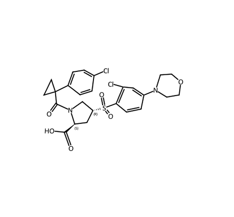 O=C(O)[C@@H]1C[C@@H](S(=O)(=O)c2ccc(N3CCOCC3)cc2Cl)CN1C(=O)C1(c2ccc(Cl)cc2)CC1